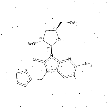 CC(=O)OC[C@@H]1C[C@@H](OC(C)=O)[C@H](n2c(=O)n(Cc3cccs3)c3cnc(N)nc32)O1